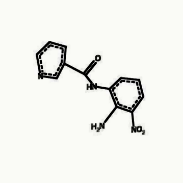 Nc1c(NC(=O)c2cccnc2)cccc1[N+](=O)[O-]